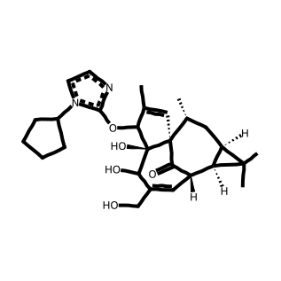 CC1=C[C@]23C(=O)[C@@H](C=C(CO)C(O)[C@]2(O)C1Oc1nccn1C1CCCC1)[C@H]1[C@@H](C[C@H]3C)C1(C)C